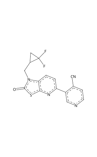 N#Cc1ccncc1-c1ccc2c(n1)sc(=O)n2CC1CC1(F)F